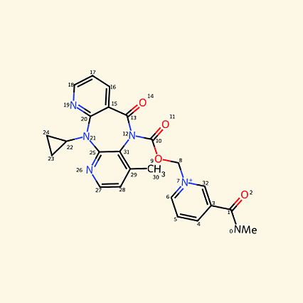 CNC(=O)c1ccc[n+](COC(=O)N2C(=O)c3cccnc3N(C3CC3)c3nccc(C)c32)c1